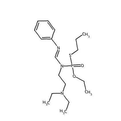 CCCSP(=O)(OCC)N(C=Nc1ccccc1)CCN(CC)CC